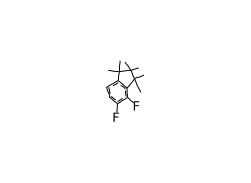 CC1(C)c2ccc(F)c(F)c2C(C)(C)C1(C)C